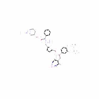 COc1ccc(C(Cc2c(Cl)c[n+]([O-])cc2Cl)OC(=O)c2ccc(CNC(C(=O)OC[C@@H]3CCCN(C)C3)c3ccccc3)s2)cc1OC